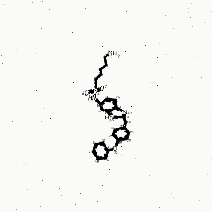 NCCCCCS(=O)(=O)Nc1ccc2nc(Cc3ccc(Oc4ccccc4)cc3)[nH]c2c1